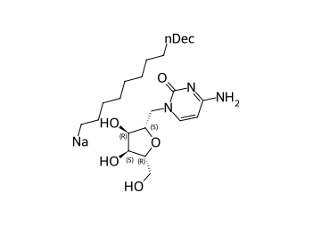 CCCCCCCCCCCCCCCCC[CH2][Na].Nc1ccn(C[C@@H]2O[C@H](CO)[C@@H](O)[C@H]2O)c(=O)n1